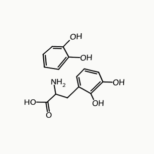 NC(Cc1cccc(O)c1O)C(=O)O.Oc1ccccc1O